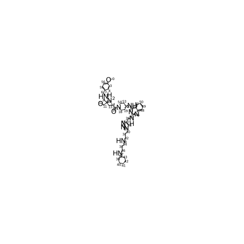 COc1ccc(CNC[C@@](N)(C=O)CCC(=O)N2CCC(Nc3nc(NCc4cn(CCCNCCCNC5CCCCC5)nn4)nc4ccccc34)CC2)cc1